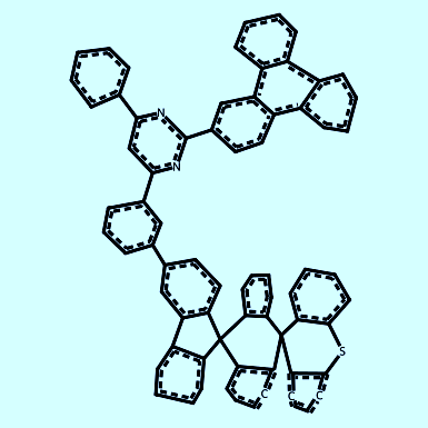 c1ccc(-c2cc(-c3cccc(-c4ccc5c(c4)-c4ccccc4C54c5ccccc5C5(c6ccccc6Sc6ccccc65)c5ccccc54)c3)nc(-c3ccc4c5ccccc5c5ccccc5c4c3)n2)cc1